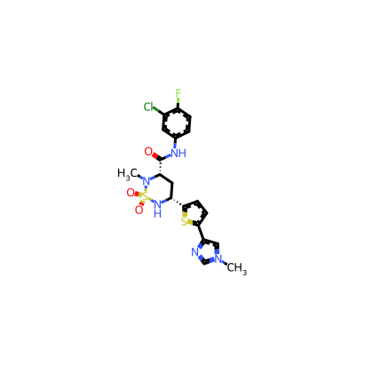 CN1[C@H](C(=O)Nc2ccc(F)c(Cl)c2)C[C@H](c2ccc(-c3cn(C)cn3)s2)NS1(=O)=O